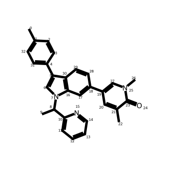 Cc1ccc(-c2cn(C(C)c3ccccn3)c3cc(-c4cc(C)c(=O)n(C)c4)ccc23)cc1